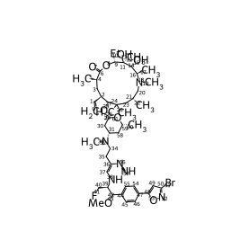 C=C[C@H]1C[C@@H](C)C(=O)O[C@H](CC)[C@@](C)(O)[C@H](O)[C@@H](C)N(C)C[C@H](C)CC(C)(C)[C@@H]1O[C@H]1C[C@@H](N(C)CC/C(=C/N[C@H](CF)[C@H](OC)c2ccc(-c3cc(Br)no3)cc2)N=N)C[C@@H](C)O1